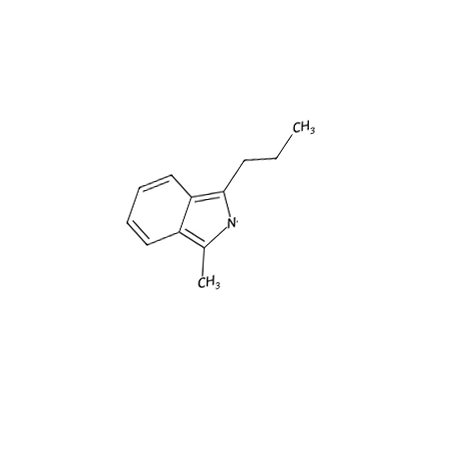 CCCC1=c2ccccc2=C(C)[N]1